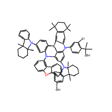 CCCCC(C)(C)c1ccc(N2c3cc4c(cc3B3c5ccc(N6c7ccccc7C7(C)CCCCC67C)cc5N(c5cccc6oc7ccccc7c56)c5cc(N6c7ccc(C(C)(C)C)cc7C7(C)CCCCC67C)cc2c53)C(C)(C)CCC4(C)C)cc1CC